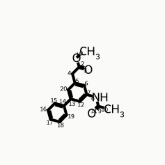 COC(=O)Cc1cc(NC(C)=O)cc(-c2ccccc2)c1